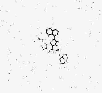 C=CC(=O)N1CCC(N(C)c2nc(OC[C@@]34CCCN3C[C@H](F)C4)nc3c(F)c(-c4cccc5cccc(Cl)c45)ncc23)C1